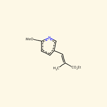 CCOC(=O)C(C)=Cc1ccc(OC)nc1